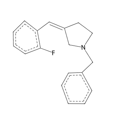 Fc1ccccc1C=C1CCN(Cc2ccccc2)C1